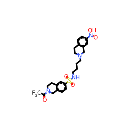 O=C(N1CCc2cc(S(=O)(=O)NCCCCN3CCc4ccc([N+](=O)O)cc4C3)ccc2C1)C(F)(F)F